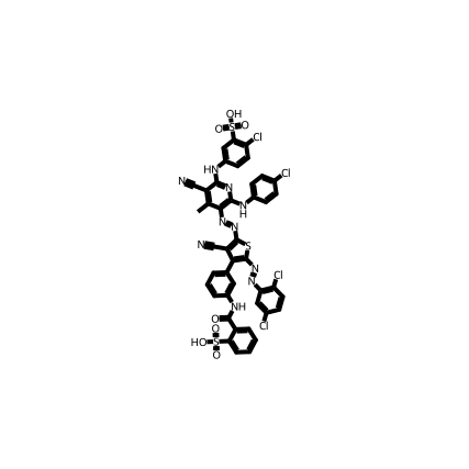 Cc1c(C#N)c(Nc2ccc(Cl)c(S(=O)(=O)O)c2)nc(Nc2ccc(Cl)cc2)c1N=Nc1sc(N=Nc2cc(Cl)ccc2Cl)c(-c2cccc(NC(=O)c3ccccc3S(=O)(=O)O)c2)c1C#N